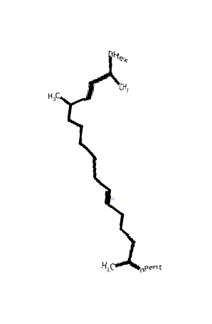 [CH2]CCCCCC(C)CCC(C)CCCCC/C=C/CCCC(C)CCCC[CH2]